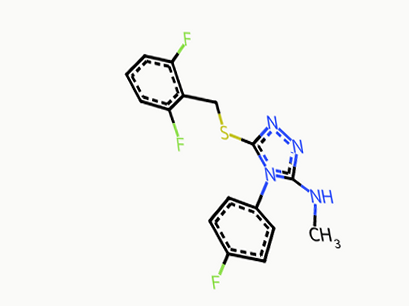 CNc1nnc(SCc2c(F)cccc2F)n1-c1ccc(F)cc1